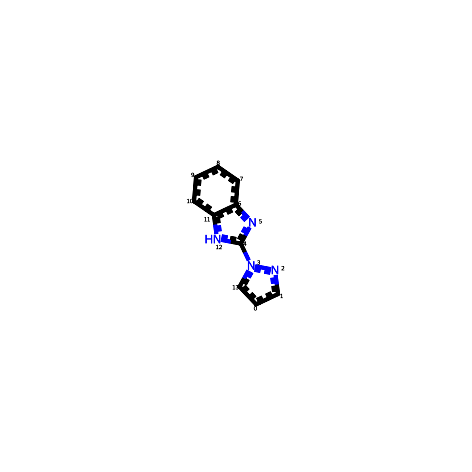 [c]1cnn(-c2nc3ccccc3[nH]2)c1